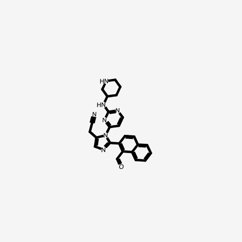 N#CCc1cnc(-c2ccc3ccccc3c2C=O)n1-c1ccnc(NC2CCCNC2)n1